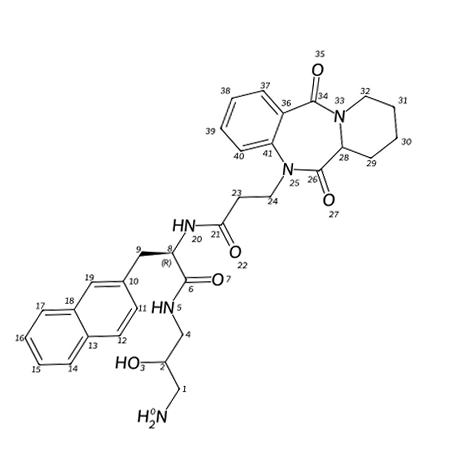 NCC(O)CNC(=O)[C@@H](Cc1ccc2ccccc2c1)NC(=O)CCN1C(=O)C2CCCCN2C(=O)c2ccccc21